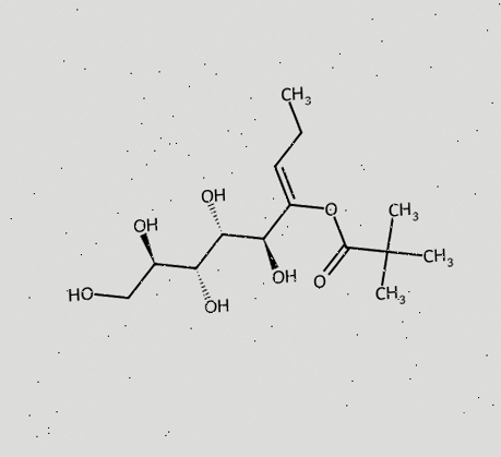 CCC=C(OC(=O)C(C)(C)C)[C@@H](O)[C@@H](O)[C@H](O)[C@H](O)CO